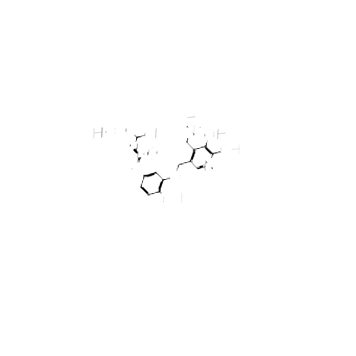 Cc1ccc(O/[P+]([O-])=N/C(C)C(=O)O)cc1OCc1cnc(C)c(O)c1CN